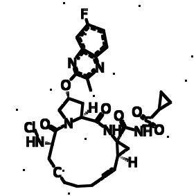 Cc1nc2ccc(F)cc2nc1O[C@@H]1C[C@H]2C(=O)N[C@]3(C(=O)NS(=O)(=O)C4CC4)C[C@H]3/C=C\CCCCC[C@H](NCl)C(=O)N2C1